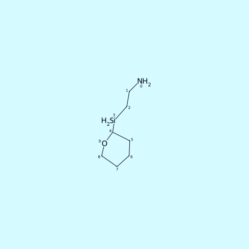 NCC[SiH2]C1CCCCO1